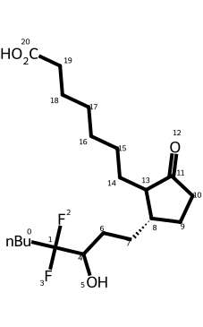 CCCCC(F)(F)C(O)CC[C@H]1CCC(=O)C1CCCCCCC(=O)O